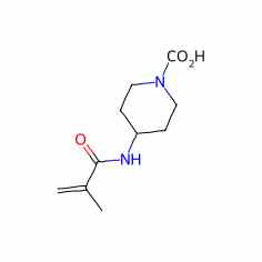 C=C(C)C(=O)NC1CCN(C(=O)O)CC1